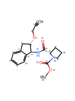 C#CCO[C@H]1Cc2ccccc2[C@@H]1NC(=O)[C@@H]1CCCN1C(=O)OC(C)(C)C